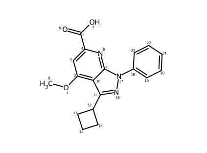 COc1cc(C(=O)O)nc2c1c(C1CCC1)nn2-c1ccccc1